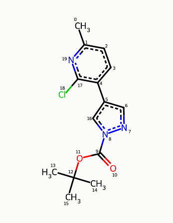 Cc1ccc(-c2cnn(C(=O)OC(C)(C)C)c2)c(Cl)n1